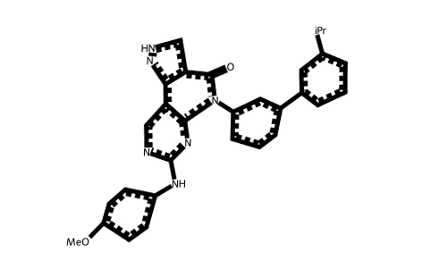 COc1ccc(Nc2ncc3c4n[nH]cc4c(=O)n(-c4cccc(-c5cccc(C(C)C)c5)c4)c3n2)cc1